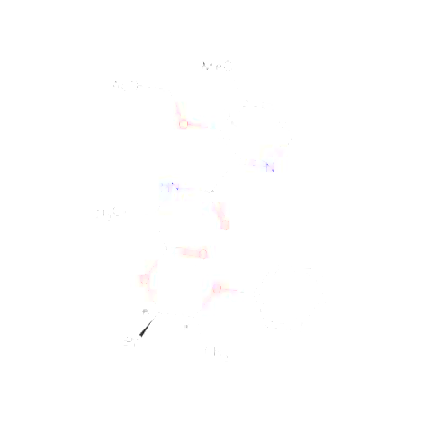 COc1ccnc(C(=O)N[C@@H](C)C(=O)O[C@H](C(C)C)[C@@H](C)Oc2ccccc2)c1OCOC(C)=O